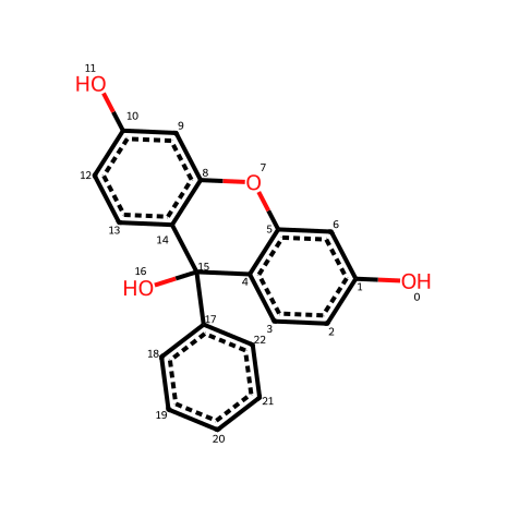 Oc1ccc2c(c1)Oc1cc(O)ccc1C2(O)c1ccccc1